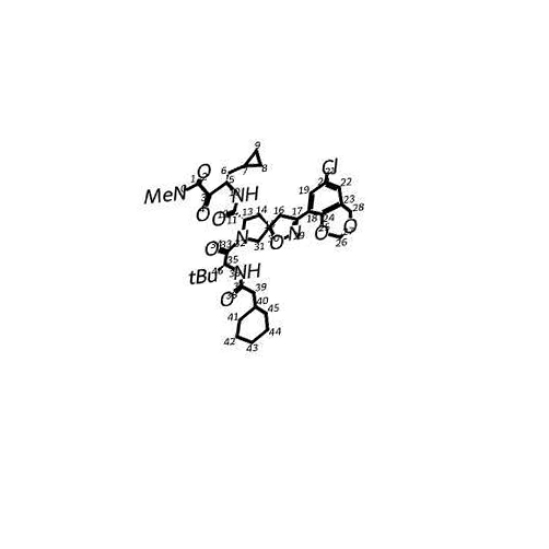 CNC(=O)C(=O)[C@H](CC1CC1)NC(=O)[C@@H]1C[C@]2(CC(c3cc(Cl)cc4c3OCOC4)=NO2)CN1C(=O)[C@@H](NC(=O)CC1CCCCC1)C(C)(C)C